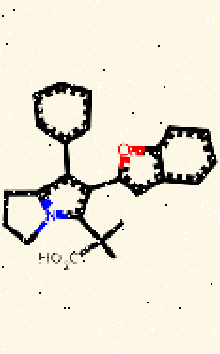 CC(C)(C(=O)O)c1c(-c2cc3ccccc3o2)c(-c2ccccc2)c2n1CCC2